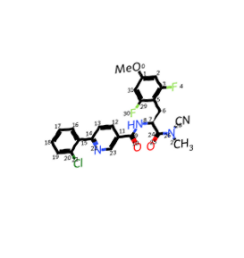 COc1cc(F)c(C[C@H](NC(=O)c2ccc(-c3ccccc3Cl)nc2)C(=O)N(C)C#N)c(F)c1